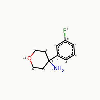 NC1(c2cccc(F)c2)CCOCC1